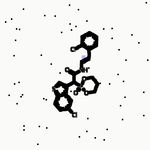 O=C(N/C=C/c1ccccc1Cl)C(c1csc2ccc(Cl)cc12)P1(=O)OCCCO1